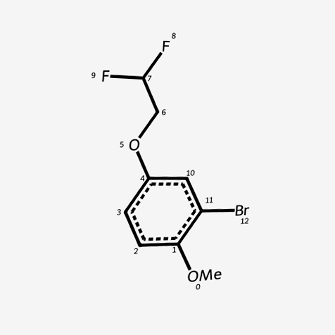 COc1ccc(OCC(F)F)cc1Br